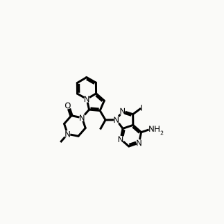 CC(c1cc2ccccn2c1N1CCN(C)CC1=O)n1nc(I)c2c(N)ncnc21